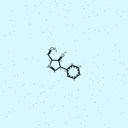 C=CC1N=CC(c2ccccc2)C1=O